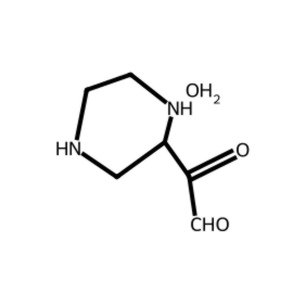 O.O=CC(=O)C1CNCCN1